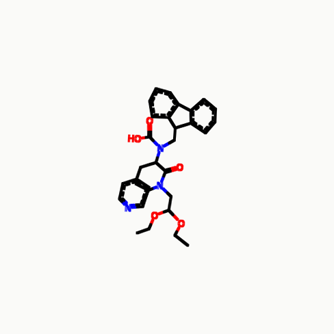 CCOC(CN(C(=O)C(Cc1ccncc1)N(CC1c2ccccc2-c2ccccc21)C(=O)O)C(C)C)OCC